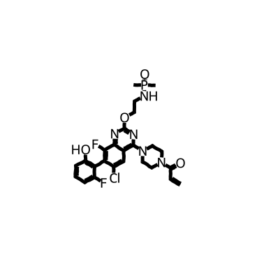 C=CC(=O)N1CCN(c2nc(OCCNP(C)(C)=O)nc3c(F)c(-c4c(O)cccc4F)c(Cl)cc23)CC1